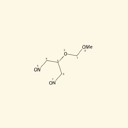 COCOC(CN=O)CN=O